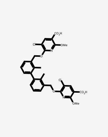 COc1nc(OCc2cccc(-c3cccc(COc4nc(OC)c(C(=O)O)cc4Cl)c3C)c2C)c(Cl)cc1C(=O)O